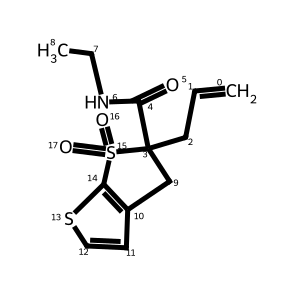 C=CCC1(C(=O)NCC)Cc2ccsc2S1(=O)=O